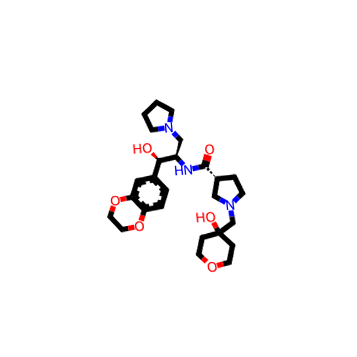 O=C(N[C@H](CN1CCCC1)[C@H](O)c1ccc2c(c1)OCCO2)[C@@H]1CCN(CC2(O)CCOCC2)C1